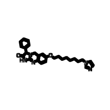 O=C1NC2=Nc3ccc(OCCCCCCCCn4ccnc4)cc3CN2C1c1ccccc1